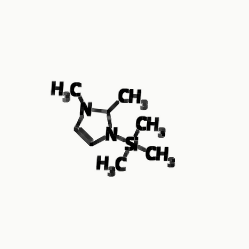 CC1N(C)C=CN1[Si](C)(C)C